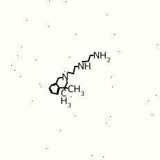 CC1(C)CN(CCCNCCCN)Cc2ccccc21